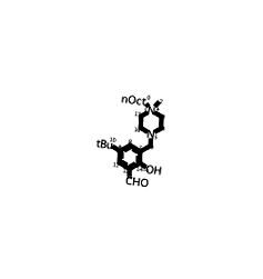 CCCCCCCC[N+]1(C)CCN(Cc2cc(C(C)(C)C)cc(C=O)c2O)CC1